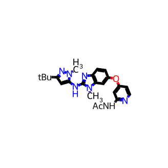 CC(=O)Nc1cc(Oc2ccc3nc(Nc4cc(C(C)(C)C)nn4C)n(C)c3c2)ccn1